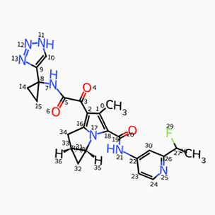 Cc1c(C(=O)C(=O)NC2(c3c[nH]nn3)CC2)c2n(c1C(=O)Nc1ccnc(C(C)F)c1)[C@@H]1C[C@@H]1C2